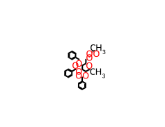 CC(=O)OOCC1O[C@@H](C)C(OC(=O)c2ccccc2)C(OC(=O)c2ccccc2)[C@H]1OCc1ccccc1